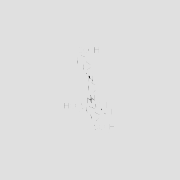 Cc1cc(/N=N/c2c(S(=O)(=O)O)cc3cc(S(=O)(=O)O)cc(N)c3c2O)ccc1/N=N/c1ccc2cc(S(=O)(=O)O)ccc2c1